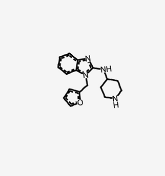 c1coc(Cn2c(NC3CCNCC3)nc3ccccc32)c1